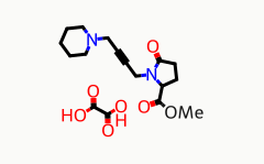 COC(=O)C1CCC(=O)N1CC#CCN1CCCCC1.O=C(O)C(=O)O